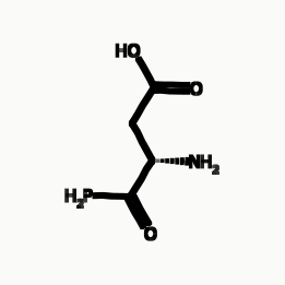 N[C@@H](CC(=O)O)C(=O)P